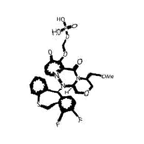 COCC1COC[C@@H]2N1C(=O)c1c(OCOP(=O)(O)O)c(=O)ccn1N2[C@@H]1c2ccccc2SCc2c1ccc(F)c2F